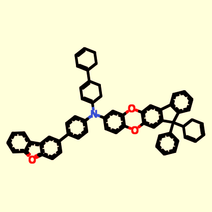 C1=CCCC(C2=CC=C(N(c3ccc(-c4ccc5oc6ccccc6c5c4)cc3)c3ccc4c(c3)Oc3cc5c(cc3O4)C(c3ccccc3)(C3C=CC=CC3)c3ccccc3-5)CC2)=C1